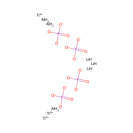 O=P([O-])([O-])[O-].O=P([O-])([O-])[O-].O=P([O-])([O-])[O-].O=P([O-])([O-])[O-].[AlH3].[AlH3].[AlH3].[LiH].[LiH].[LiH].[Ti+4].[Ti+4].[Ti+4]